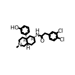 CN1CC[C@@]2(c3cccc(O)c3)C[C@H](NC(=O)Cc3ccc(Cl)c(Cl)c3)CC[C@@H]2C1